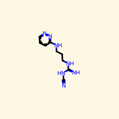 N#CNC(=N)NCCCNc1cccnn1